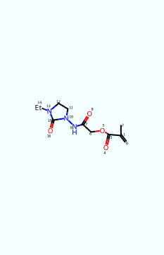 C=C(C)C(=O)OCC(=O)NN1CCN(CC)C1=O